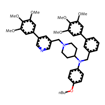 CCCCOc1ccc(N(Cc2cccc(-c3cc(OC)c(OC)c(OC)c3)c2)C2CCN(Cc3cncc(-c4cc(OC)c(OC)c(OC)c4)c3)CC2)cc1